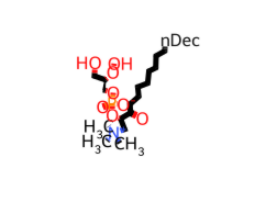 CCCCCCCCCCCCCCCCCCC(=O)C(C[N+](C)(C)C)OP(=O)([O-])OC[C@@H](CO)OO